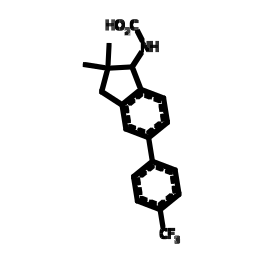 CC1(C)Cc2cc(-c3ccc(C(F)(F)F)cc3)ccc2C1NC(=O)O